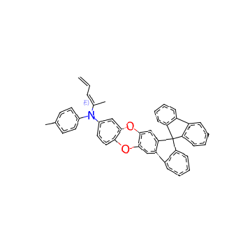 C=C/C=C(\C)N(c1ccc(C)cc1)c1ccc2c(c1)Oc1cc3c(cc1O2)-c1ccccc1C31c2ccccc2-c2ccccc21